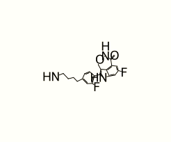 CNCCCCc1ccc(-c2[nH]c3cc(F)cc4c3c2CONC4=O)c(F)c1